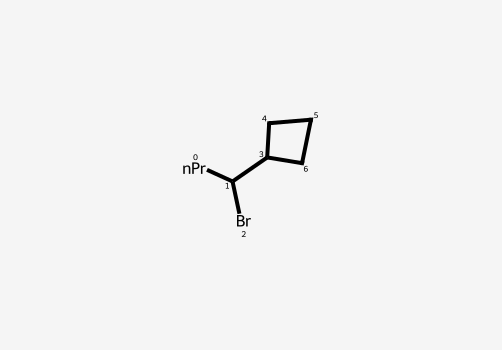 [CH2]CCC(Br)C1CCC1